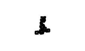 Cc1ccc(CN2CCC3(CC2)OC(C=O)c2ccc(Cl)cc23)cn1